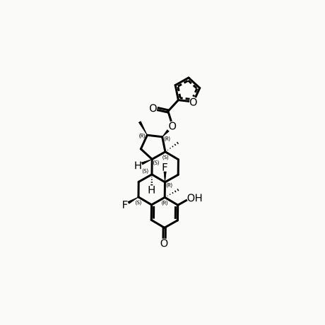 C[C@@H]1C[C@H]2[C@@H]3C[C@H](F)C4=CC(=O)C=C(O)[C@]4(C)[C@@]3(F)CC[C@]2(C)[C@@H]1OC(=O)c1ccco1